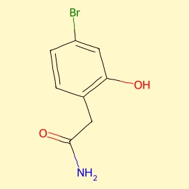 NC(=O)Cc1ccc(Br)cc1O